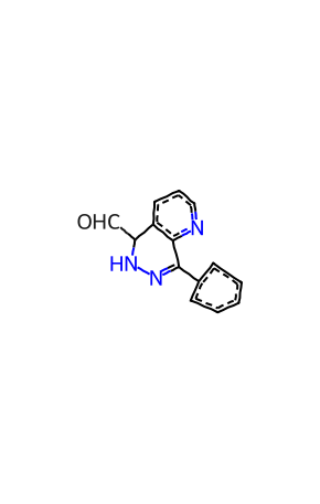 O=CC1NN=C(c2ccccc2)c2ncccc21